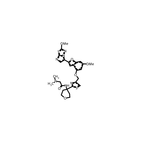 COc1cc(OCc2csc(C3(NC(=O)CN(C)C)CCOCC3)n2)c2cc(-c3cnc4sc(OC)nn34)oc2c1